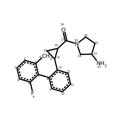 Cc1cccc(F)c1-c1ccccc1C1CC1C(=O)N1CCC(N)C1